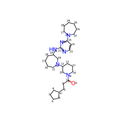 O=C(CCC1CCCC1)N1CCCC(N2CCCCC(Nc3nccc(N4CCCCCC4)n3)C2)C1